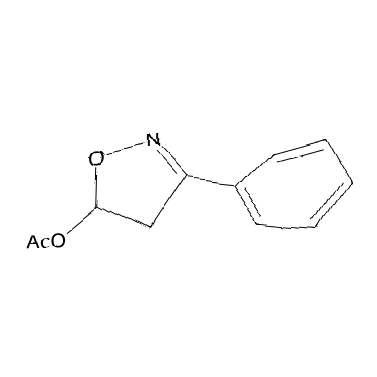 CC(=O)OC1CC(c2ccccc2)=NO1